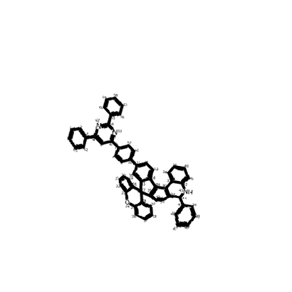 c1ccc(-c2cc(-c3ccc(-c4ccc5c(c4)C4(c6ccccc6Oc6ccccc64)c4ccc6c(c4-5)-c4ccccc4NC6c4ccccc4)cc3)nc(-c3ccccc3)n2)cc1